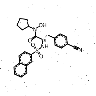 N#Cc1ccc(C[C@H](NS(=O)(=O)c2ccc3ccccc3c2)C(=O)N(O)C2CCCC2)cc1